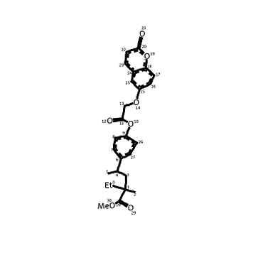 CCC(C)(CC(C)c1ccc(OC(=O)COc2ccc3oc(=O)ccc3c2)cc1)C(=O)OC